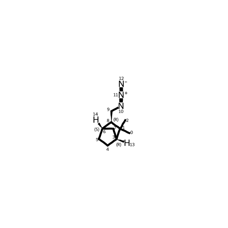 CC1(C)[C@@H]2CC[C@@H](C2)[C@H]1CN=[N+]=[N-]